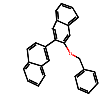 [c]1c(-c2ccc3ccccc3c2)c(OCc2ccccc2)cc2ccccc12